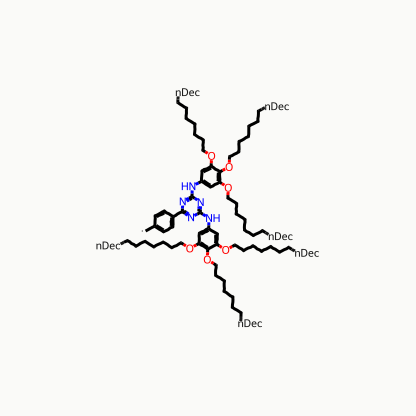 [CH2]c1ccc(-c2nc(Nc3cc(OCCCCCCCCCCCCCCCCC)c(OCCCCCCCCCCCCCCCCC)c(OCCCCCCCCCCCCCCCCC)c3)nc(Nc3cc(OCCCCCCCCCCCCCCCCC)c(OCCCCCCCCCCCCCCCCC)c(OCCCCCCCCCCCCCCCCC)c3)n2)cc1